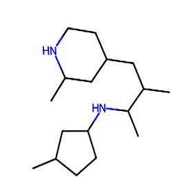 CC1CCC(NC(C)C(C)CC2CCNC(C)C2)C1